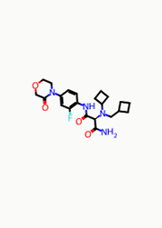 NC(=O)[C@@H](C(=O)Nc1ccc(N2CCOCC2=O)cc1F)N(CC1CCC1)C1CCC1